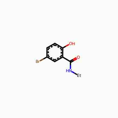 CCNC(=O)c1cc(Br)ccc1O